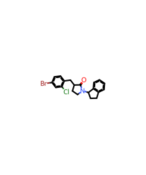 O=C1C(Cc2ccc(Br)cc2Cl)CCN1C1CCc2ccccc21